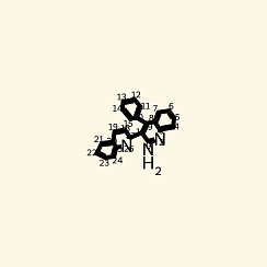 Nc1nc2ccccc2c(-c2ccccc2)c1-c1ccc2ccccc2n1